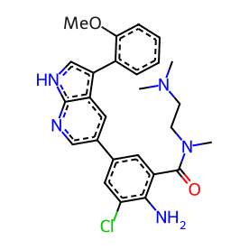 COc1ccccc1-c1c[nH]c2ncc(-c3cc(Cl)c(N)c(C(=O)N(C)CCN(C)C)c3)cc12